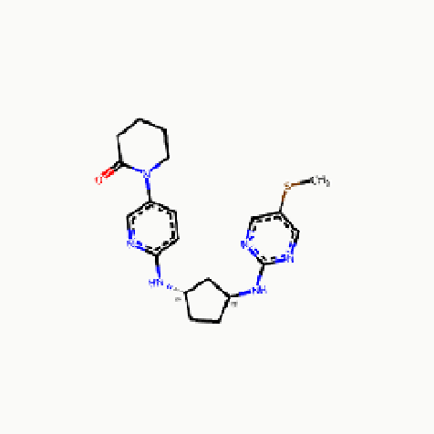 CSc1cnc(N[C@H]2CC[C@H](Nc3ccc(N4CCCCC4=O)cn3)C2)nc1